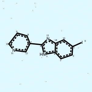 Ic1ccc2[nH]c(-c3cccnc3)nc2c1